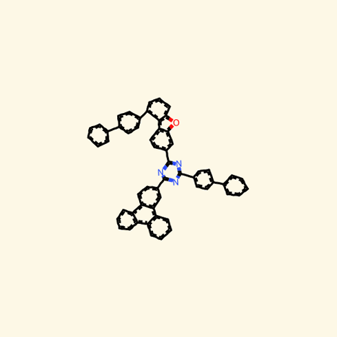 c1ccc(-c2ccc(-c3nc(-c4ccc5c(c4)oc4cccc(-c6ccc(-c7ccccc7)cc6)c45)nc(-c4ccc5c6ccccc6c6ccccc6c5c4)n3)cc2)cc1